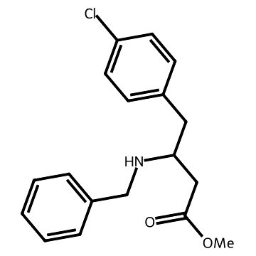 COC(=O)CC(Cc1ccc(Cl)cc1)NCc1ccccc1